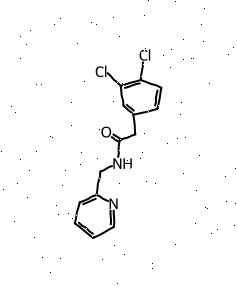 O=C(Cc1ccc(Cl)c(Cl)c1)NCc1ccccn1